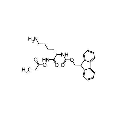 C=CC(=O)ONC(=O)[C@H](CCCCN)NC(=O)OCC1c2ccccc2-c2ccccc21